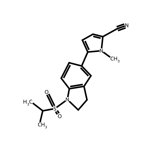 CC(C)S(=O)(=O)N1CCc2cc(-c3ccc(C#N)n3C)ccc21